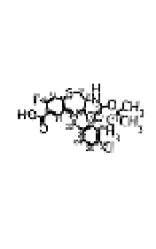 CC(C)(C)OC(=O)NC1CSc2cc(F)c(C(=O)O)cc2N(Cc2ccc(Cl)cc2)C1=O